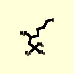 CC(CCCCI)CC(C)(C)C(F)(F)F